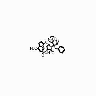 CC(=CS(=O)(=O)N[C@H]1CCN([C@@](C=O)(Cc2ccccc2)C2CNCCO2)C1=O)c1ccc(Cl)s1